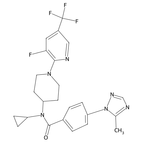 Cc1ncnn1-c1ccc(C(=O)N(C2CC2)C2CCN(c3ncc(C(F)(F)F)cc3F)CC2)cc1